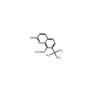 COc1c(C(C)(C)C)ccc2ccc(Cl)nc12